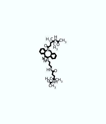 CC(=O)NC(C)(C)CCC(=O)NCCCn1nnc2c1-c1ccccc1CN(C(=O)CCC(C)(C)NC(C)=O)c1ccccc1-2